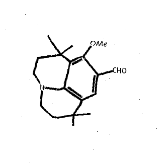 COc1c(C=O)cc2c3c1C(C)(C)CCN3CCC2(C)C